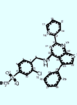 NS(=O)(=O)c1ccc(CNc2nc(-c3ccccn3)nc3scc(-c4ccccc4)c23)c(Cl)c1